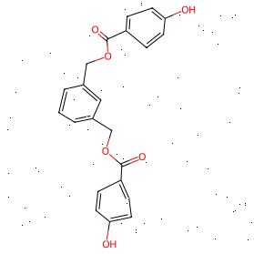 O=C(OCc1cccc(COC(=O)c2ccc(O)cc2)c1)c1ccc(O)cc1